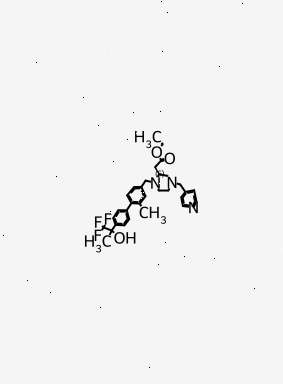 CCOC(=O)C[C@H]1CN(Cc2ccncc2)CCN1Cc1ccc(-c2ccc(C(C)(O)C(F)(F)F)cc2)c(C)c1